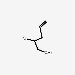 C=CCC(COC)C(C)=O